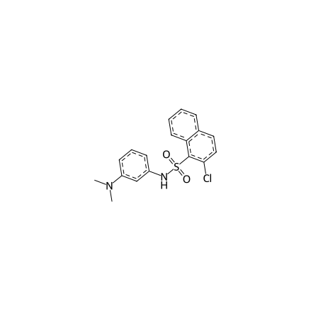 CN(C)c1cccc(NS(=O)(=O)c2c(Cl)ccc3ccccc23)c1